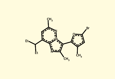 CCC(CC)c1cc(C)nn2c(-c3oc(Br)cc3C)c(C)nc12